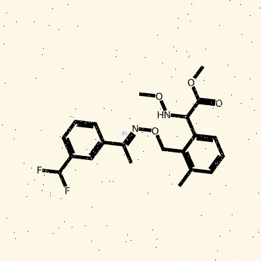 CONC(C(=O)OC)c1cccc(C)c1CO/N=C(\C)c1cccc(C(F)F)c1